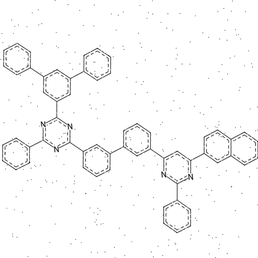 c1ccc(-c2cc(-c3ccccc3)cc(-c3nc(-c4ccccc4)nc(-c4cccc(-c5cccc(-c6cc(-c7ccc8ccccc8c7)nc(-c7ccccc7)n6)c5)c4)n3)c2)cc1